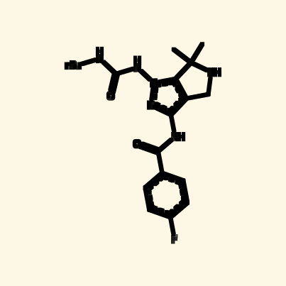 CCCCNC(=O)Nn1nc(NC(=O)c2ccc(F)cc2)c2c1C(C)(C)NC2